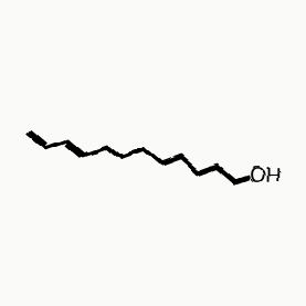 C=C/C=C/CCCCCCCCO